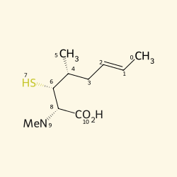 CC=CC[C@@H](C)[C@@H](S)[C@@H](NC)C(=O)O